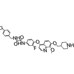 COc1c(OCC2CCNCC2)ccc2c(Oc3ccc(NC(=O)C(=O)NCc4ccc(Cl)cc4)cc3F)ccnc12